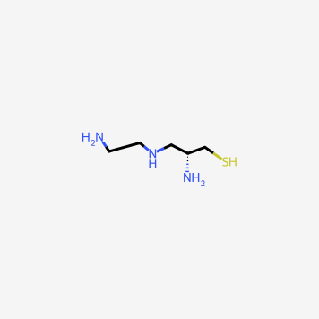 NCCNC[C@@H](N)CS